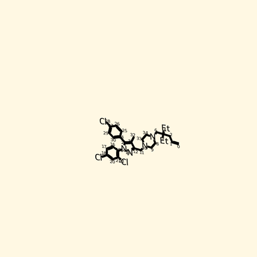 C=CCC(CC)(CC)CN1CCN(Cc2nn(-c3ccc(Cl)cc3Cl)c(-c3ccc(Cl)cc3)c2C)CC1